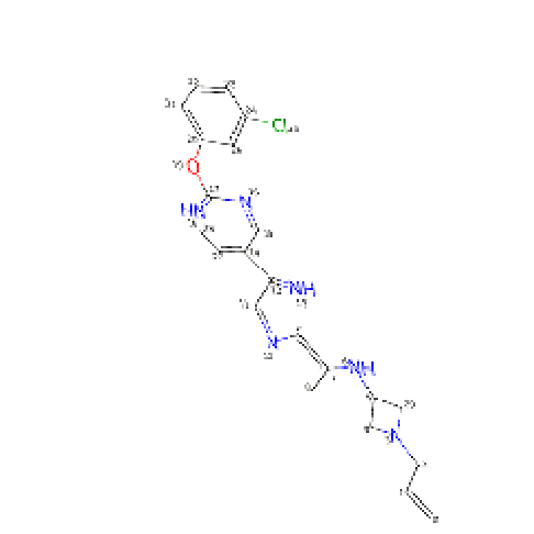 C=CCN1CC(N/C(C)=C/N=C\C(=N)C(/C=N\C(=N)Oc2cccc(Cl)c2)=C/C)C1